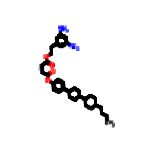 CCCCC1CCC(C2CCC(c3ccc(OC(=O)/C=C\C(=O)OCCc4cc(N)cc(N)c4)cc3)CC2)CC1